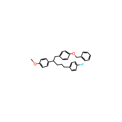 COc1ccc(C(CCCc2ccc(F)cc2)Cc2ccc(OCc3ccccc3)cc2)cc1